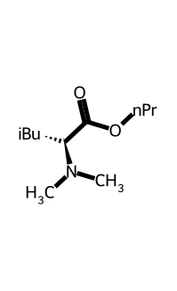 CCCOC(=O)[C@H]([C@@H](C)CC)N(C)C